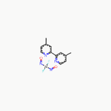 Cc1ccnc(-c2cc(C)ccn2)c1.O=[N][W]([F])([F])[N]=O